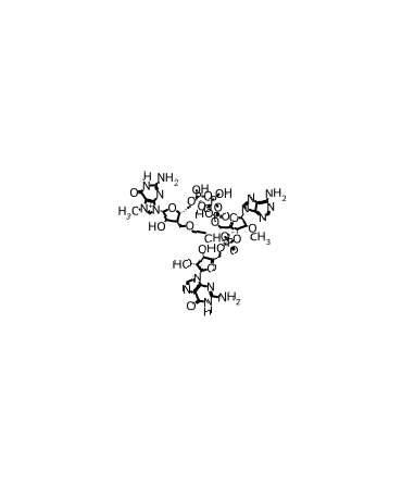 CCCOC[C@H]1[C@@H](O)[C@H](n2c[n+](C)c3c(=O)[nH]c(N)nc32)O[C@@H]1COP(=O)(O)OP(=O)(O)OP(=O)(O)OCC1O[C@@H](n2cnc3c(N)ncnc32)[C@H](OC)[C@@H]1OP(=O)([O-])OC[C@H]1O[C@@H](n2cnc3c(=O)[nH]c(N)nc32)[C@H](O)[C@@H]1O